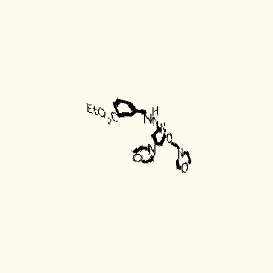 CCOC(=O)c1cccc(C=NNc2cc(N3CCOCC3)cc(OCCN3CCOCC3)n2)c1